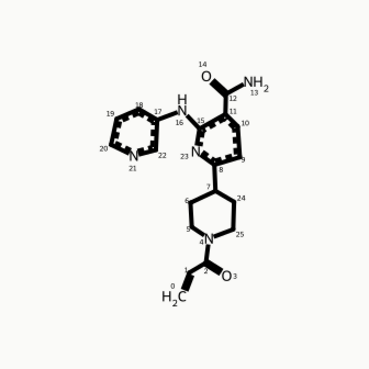 C=CC(=O)N1CCC(c2ccc(C(N)=O)c(Nc3cccnc3)n2)CC1